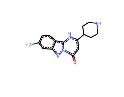 Nc1ccc2c(c1)nn1c(=O)cc(C3CCNCC3)[nH]c21